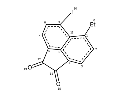 CCc1ccc2c3c(ccc(I)c13)C(=O)C2=O